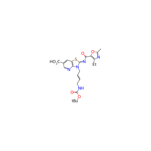 CCc1nc(C)oc1C(=O)/N=c1\sc2cc(C(=O)O)cnc2n1C/C=C/CNC(=O)OC(C)(C)C